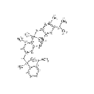 CCc1ccccc1C(C)(C)Cc1ccc(C(C)(C)Cc2cc(C)c(C(C)C)cc2C#N)c(C)c1